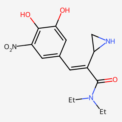 CCN(CC)C(=O)/C(=C/c1cc(O)c(O)c([N+](=O)[O-])c1)C1CN1